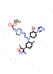 Cc1ccc(-c2c(C)noc2C)cc1N(CCN1CCN(CC(=O)OC(C)(C)C)CC1)c1ccc(-n2ccnc2)c(Br)c1